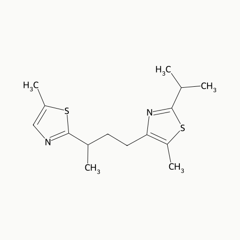 Cc1cnc(C(C)CCc2nc(C(C)C)sc2C)s1